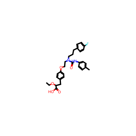 CCOC(Cc1ccc(OCCN(CCCc2ccc(F)cc2)C(=O)Nc2ccc(C)cc2)cc1)C(=O)O